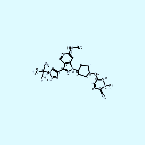 CCNc1cc2c(cn1)c(-c1cnn(C(C)(C)C#N)c1)nn2C1CCC(Oc2ccc(=O)n(CC)n2)CC1